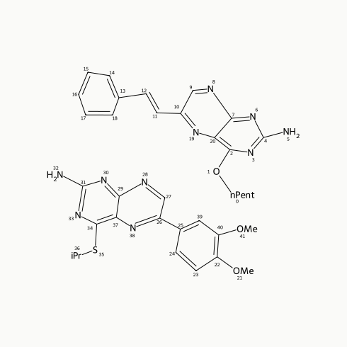 CCCCCOc1nc(N)nc2ncc(C=Cc3ccccc3)nc12.COc1ccc(-c2cnc3nc(N)nc(SC(C)C)c3n2)cc1OC